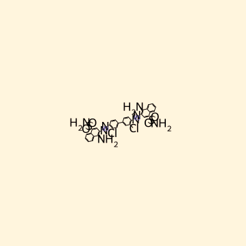 Nc1c(/N=N/c2ccc(-c3ccc(/N=N/c4cc(S(N)(=O)=O)c5ccccc5c4N)c(Cl)c3)cc2Cl)cc(S(N)(=O)=O)c2ccccc12